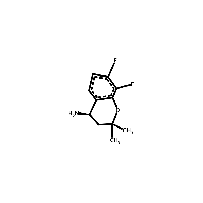 CC1(C)C[C@@H](N)c2ccc(F)c(F)c2O1